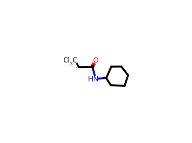 O=C([CH]C(Cl)(Cl)Cl)NC1CCCCC1